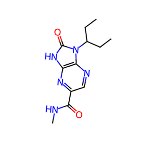 CCC(CC)n1c(=O)[nH]c2nc(C(=O)NC)cnc21